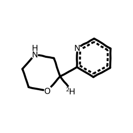 [2H]C1(c2ccccn2)CNCCO1